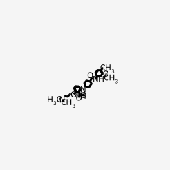 COc1cc(NC(=O)C2CCC(Nc3cccc(OCCCN(C)C)c3[N+](=O)[O-])CC2)ccc1C